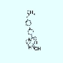 CCCc1ccc(-c2ccc(C(=O)N3CCS[C@H]3C(=O)NO)cc2)cc1